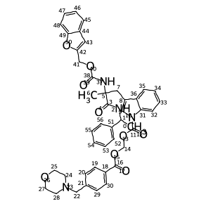 CC(NC(=O)C(C)(Cc1cn(C(=O)OCOC(=O)c2ccc(CN3CCOCC3)cc2)c2ccccc12)NC(=O)OCc1cc2ccccc2o1)c1ccccc1